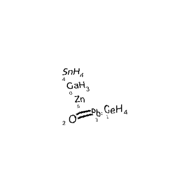 [GaH3].[GeH4].[O]=[Pb].[SnH4].[Zn]